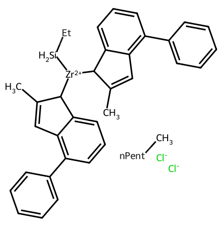 CCCCCC.CC[SiH2][Zr+2]([CH]1C(C)=Cc2c(-c3ccccc3)cccc21)[CH]1C(C)=Cc2c(-c3ccccc3)cccc21.[Cl-].[Cl-]